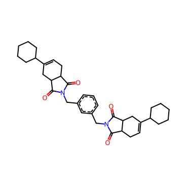 O=C1C2CC=C(C3CCCCC3)CC2C(=O)N1Cc1cccc(CN2C(=O)C3CC=C(C4CCCCC4)CC3C2=O)c1